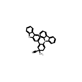 CC1(C#N)C=C(c2ccc3c(c2)oc2ccccc23)C(n2c3ccccc3c3ccccc32)=CC1